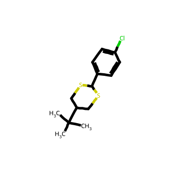 CC(C)(C)C1CSC(c2ccc(Cl)cc2)SC1